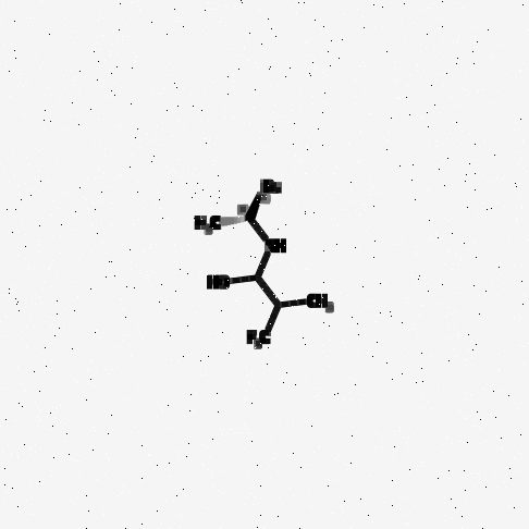 CC[C@H](C)[C@@H](C)NC(O)C(C)C(F)(F)F